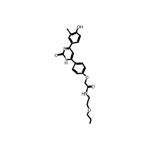 CCCOCCNC(=O)COc1ccc(-c2cc(-c3ccc(O)c(C)c3)nc(=O)[nH]2)cc1